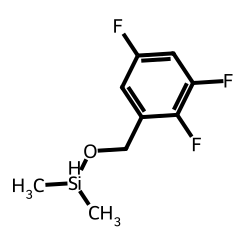 C[SiH](C)OCc1cc(F)cc(F)c1F